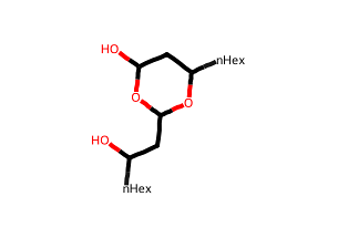 CCCCCCC(O)CC1OC(O)CC(CCCCCC)O1